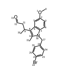 COc1ccc2c(c1)c(C(C)CC=O)c(C)n2Cc1ccc(Br)cc1